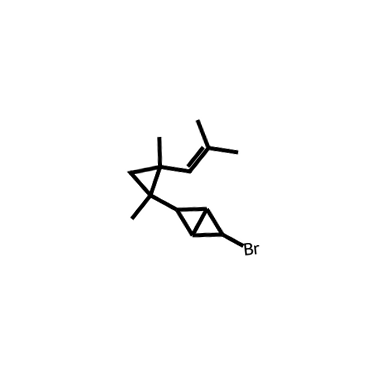 CC(C)=CC1(C)CC1(C)C1C2C(Br)C21